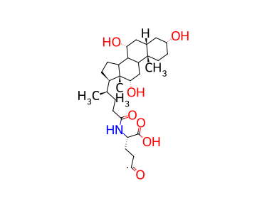 C[C@H](CCC(=O)N[C@@H](CC[C]=O)C(=O)O)[C@H]1CCC2C3C(C[C@H](O)[C@@]21C)[C@@]1(C)CC[C@@H](O)C[C@H]1C[C@H]3O